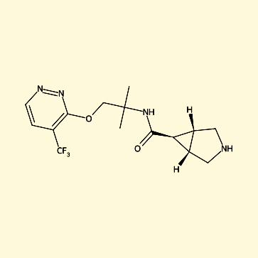 CC(C)(COc1nnccc1C(F)(F)F)NC(=O)[C@H]1[C@@H]2CNC[C@@H]21